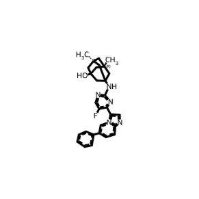 C[C@]12CC3(O)CC(Nc4ncc(F)c(-c5cnc6ccc(-c7ccccc7)cn56)n4)(C1)C[C@@](C)(C3)C2